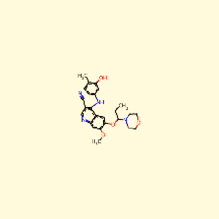 CCC(Oc1cc2c(Nc3ccc(C)c(O)c3)c(C#N)cnc2cc1OC)N1CCOCC1